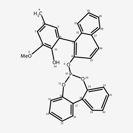 COc1cc(C)cc(-c2c(Op3oc4ccccc4c4ccccc4o3)ccc3ccccc23)c1O